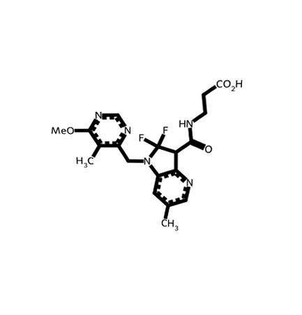 COc1ncnc(CN2c3cc(C)cnc3C(C(=O)NCCC(=O)O)C2(F)F)c1C